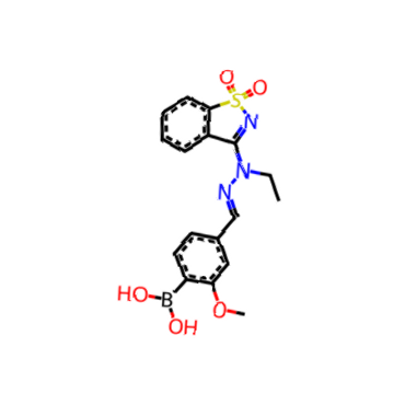 CCN(/N=C/c1ccc(B(O)O)c(OC)c1)C1=NS(=O)(=O)c2ccccc21